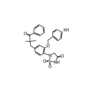 CC(C)(Cc1ccc(N2CC(=O)NS2(=O)=O)c(OCc2ccccc2)c1)C(=O)c1ccccc1.[KH]